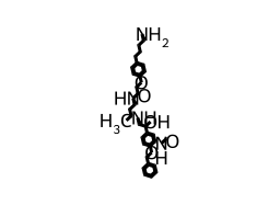 CC(CCNC(=O)COc1ccc(CCCCN)cc1)NCC(O)c1ccc(OCc2ccccc2)c(NC=O)c1